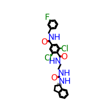 O=C(NCCNC(=O)c1c(Cl)cc(C(=O)NCc2cccc(F)c2)cc1Cl)N[C@@H]1CCc2ccccc21